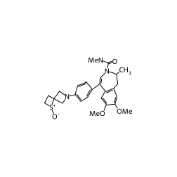 CNC(=O)N1C=C(c2ccc(N3CC4(CC[S+]4[O-])C3)cc2)c2cc(OC)c(OC)cc2CC1C